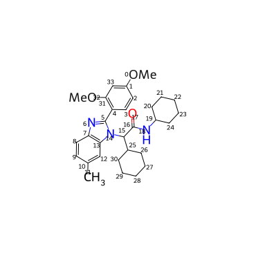 COc1ccc(-c2nc3ccc(C)cc3n2C(C(=O)NC2CCCCC2)C2CCCCC2)c(OC)c1